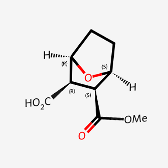 COC(=O)[C@H]1[C@@H](C(=O)O)[C@H]2CC[C@@H]1O2